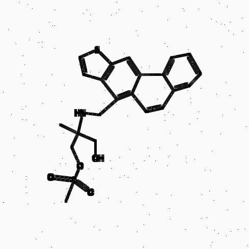 CC(CO)(COS(C)(=O)=O)NCc1c2ccsc2cc2c1ccc1ccccc12